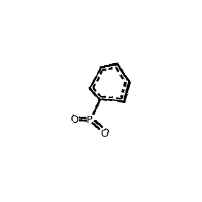 O=P(=O)c1ccccc1